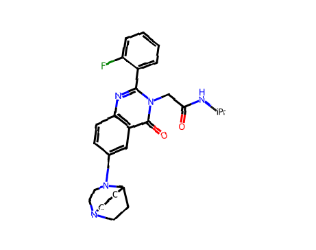 CC(C)NC(=O)Cn1c(-c2ccccc2F)nc2ccc(N3CCN4CCC3CC4)cc2c1=O